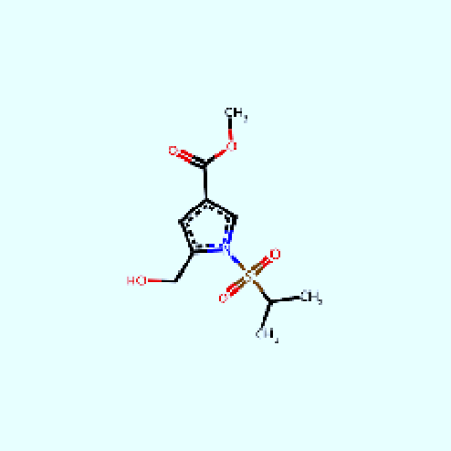 COC(=O)c1cc(CO)n(S(=O)(=O)C(C)C)c1